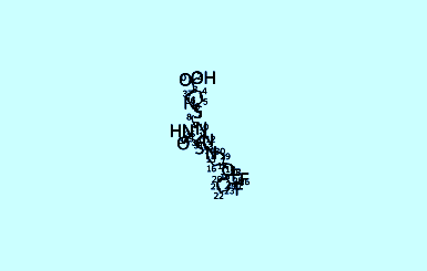 O=C(O)c1ccc(SCc2nc3nc(N4CCC(Oc5ccccc5C(F)(F)F)CC4)sc3c(=O)[nH]2)nc1